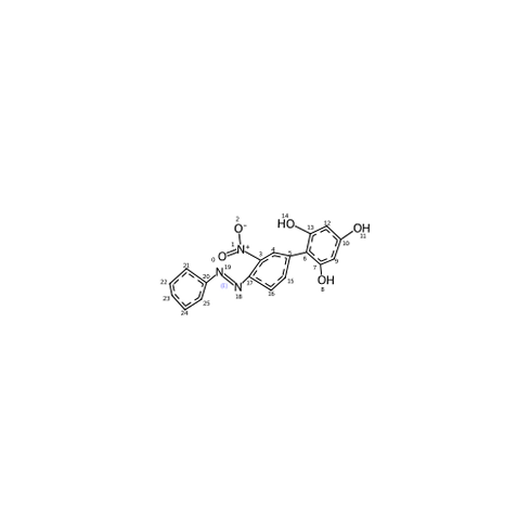 O=[N+]([O-])c1cc(-c2c(O)cc(O)cc2O)ccc1/N=N/c1ccccc1